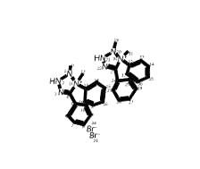 CN1NN=C(c2ccccc2)[N+]1(C)c1ccccc1.CN1NN=C(c2ccccc2)[N+]1(C)c1ccccc1.[Br-].[Br-]